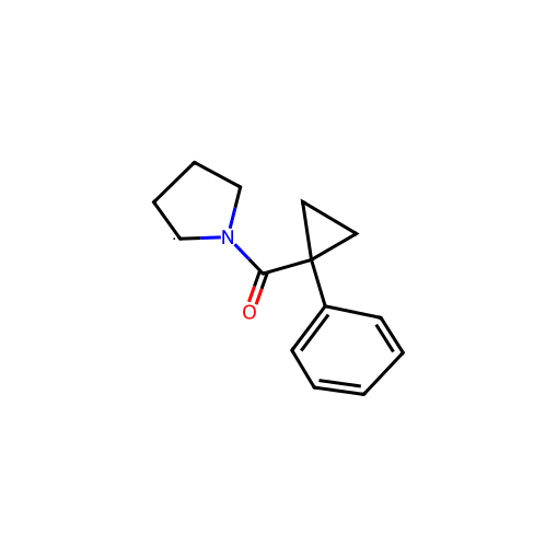 O=C(N1[CH]CCC1)C1(c2ccccc2)CC1